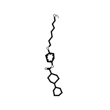 CCCCCCCCOc1ccc(OC(=O)C2CCC(C3CCCCC3)CC2)cc1